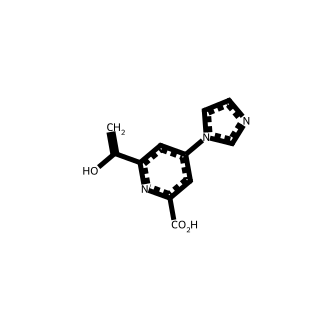 C=C(O)c1cc(-n2ccnc2)cc(C(=O)O)n1